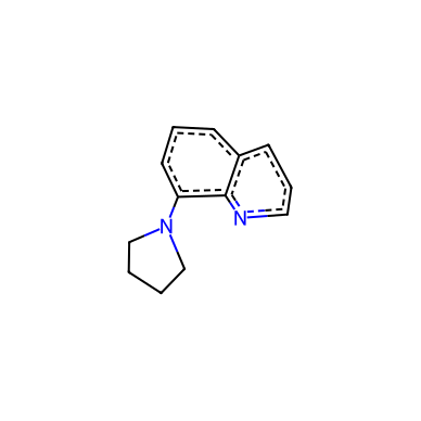 c1cnc2c(N3CCCC3)cccc2c1